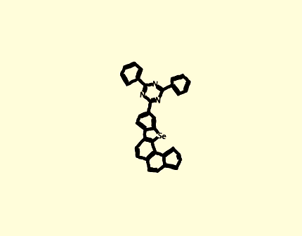 c1ccc(-c2nc(-c3ccccc3)nc(-c3ccc4c(c3)[se]c3c4ccc4ccc5ccccc5c43)n2)cc1